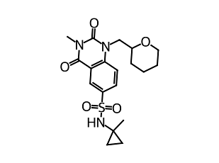 Cn1c(=O)c2cc(S(=O)(=O)NC3(C)CC3)ccc2n(CC2CCCCO2)c1=O